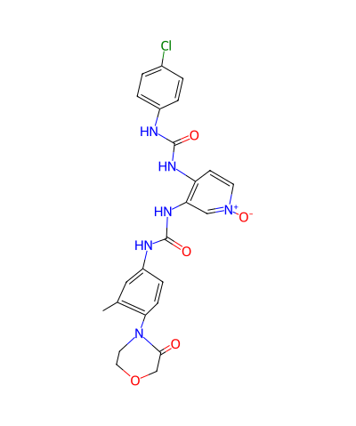 Cc1cc(NC(=O)Nc2c[n+]([O-])ccc2NC(=O)Nc2ccc(Cl)cc2)ccc1N1CCOCC1=O